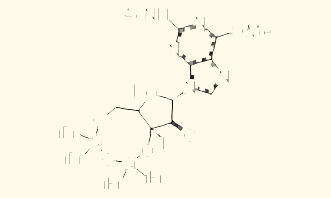 COc1nc(NC(C)=O)nc2c1ncn2[C@@H]1O[C@@H]2CO[Si](C(C)C)(C(C)C)O[Si](C(C)C)(C(C)C)O[C@H]2C1=O